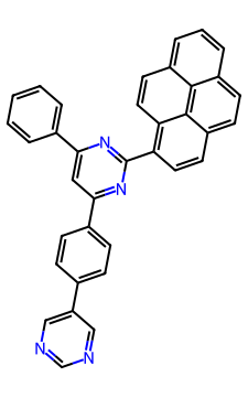 c1ccc(-c2cc(-c3ccc(-c4cncnc4)cc3)nc(-c3ccc4ccc5cccc6ccc3c4c56)n2)cc1